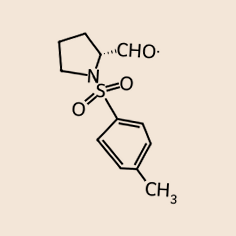 Cc1ccc(S(=O)(=O)N2CCC[C@@H]2[C]=O)cc1